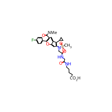 CNC(=O)c1cc2c(C3CC3)c(N(CC(=O)NCC(=O)NCCCCC(=O)O)S(C)(=O)=O)cc-2oc1-c1ccc(F)cc1